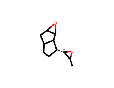 CC1O[C@H]1C1CCC2CC3OC3C21